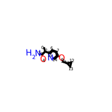 CC(C(N)=O)c1ccc(OCC2CC2)cn1